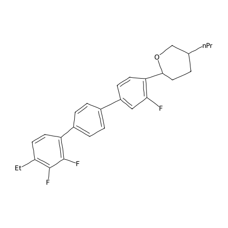 CCCC1CCC(c2ccc(-c3ccc(-c4ccc(CC)c(F)c4F)cc3)cc2F)OC1